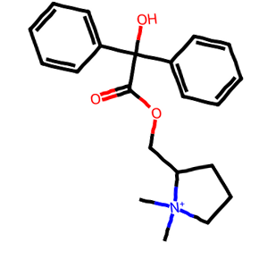 C[N+]1(C)CCCC1COC(=O)C(O)(c1ccccc1)c1ccccc1